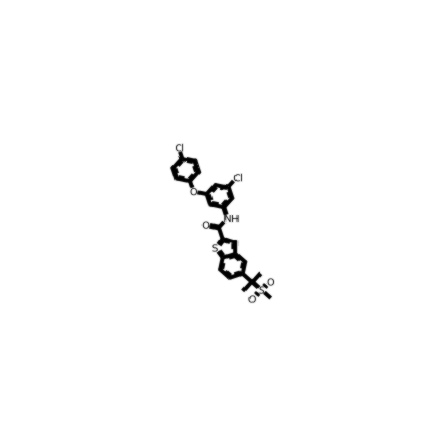 CC(C)(c1ccc2sc(C(=O)Nc3cc(Cl)cc(Oc4ccc(Cl)cc4)c3)cc2c1)S(C)(=O)=O